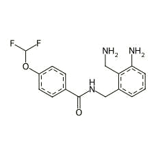 NCc1c(N)cccc1CNC(=O)c1ccc(OC(F)F)cc1